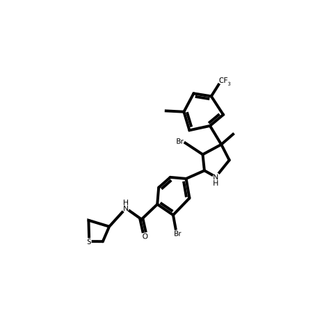 Cc1cc(C(F)(F)F)cc(C2(C)CNC(c3ccc(C(=O)NC4CSC4)c(Br)c3)C2Br)c1